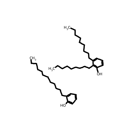 CCCCCCCCCCCCc1ccccc1O.CCCCCCCCCc1cccc(O)c1CCCCCCCCC